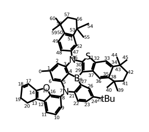 Cc1cc2c3c(c1)N(c1cccc4c5c(oc14)C=CCC5)c1ccc(C(C)(C)C)cc1B3c1c(sc3cc4c(cc13)C(C)(C)CCC4(C)C)N2c1ccc2c(c1)C(C)(C)CCC2(C)C